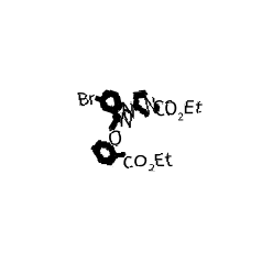 CCOC(=O)Cc1ccccc1OCc1nn(C2CCN(C(=O)OCC)C2)c2ccc(Br)cc12